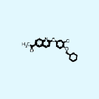 CC(=O)c1ccc2nc(Oc3ccc(OCC4CCCCC4)c(Cl)c3)ccc2c1